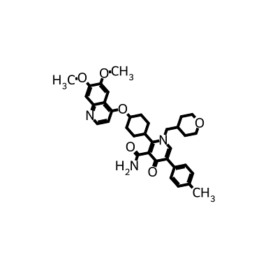 COc1cc2nccc(OC3CCC(c4c(C(N)=O)c(=O)c(-c5ccc(C)cc5)cn4CC4CCOCC4)CC3)c2cc1OC